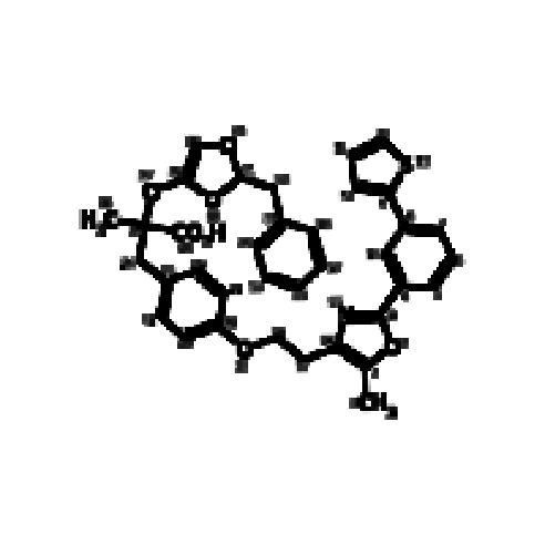 Cc1oc(-c2cccc(-c3cccs3)c2)nc1CCOc1ccc(CC(C)(OC2=COC(Cc3ccccc3)O2)C(=O)O)cc1